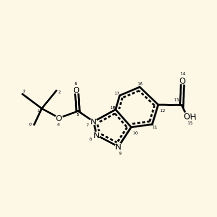 CC(C)(C)OC(=O)n1nnc2cc(C(=O)O)ccc21